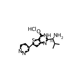 CC(C)[C@H](N)c1nc2cc(-c3ccnnc3)sc2c(=O)[nH]1.Cl